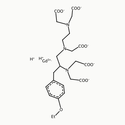 CCOc1ccc(CC(CN(CCN(CC(=O)[O-])CC(=O)[O-])CC(=O)[O-])N(CC(=O)[O-])CC(=O)[O-])cc1.[Gd+3].[H+].[H+]